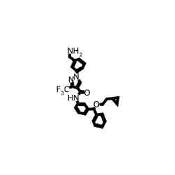 NCc1cccc(-n2cc(C(=O)Nc3cccc(C(OCCC4CC4)c4ccccc4)c3)c(C(F)(F)F)n2)c1